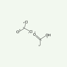 CC(=O)O.ClC(Cl)Cl